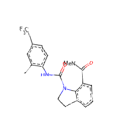 CNC(=O)c1cccc2c1N(C(=O)Nc1ccc(C(F)(F)F)cc1C)CC2